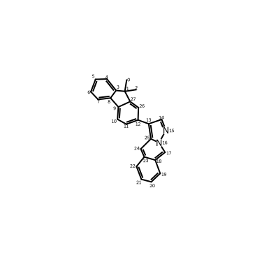 CC1(C)c2ccccc2-c2ccc(-c3cnn4cc5ccccc5cc34)cc21